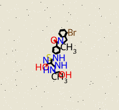 Cc1cc(Nc2snc(O)c2C(=N)NC(C)CO)ccc1C(=O)N1CCc2c(Br)cccc21